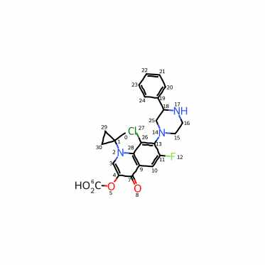 CC1(n2cc(OC(=O)O)c(=O)c3cc(F)c(N4CCNC(c5ccccc5)C4)c(Cl)c32)CC1